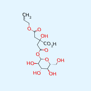 C=CCOC(=O)CC(O)(CC(=O)OC1O[C@H](CO)[C@@H](O)[C@H](O)[C@H]1O)C(=O)O